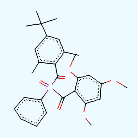 COc1cc(OC)c(C(=O)P(=O)(C(=O)c2c(C)cc(C(C)(C)C)cc2C)c2ccccc2)c(OC)c1